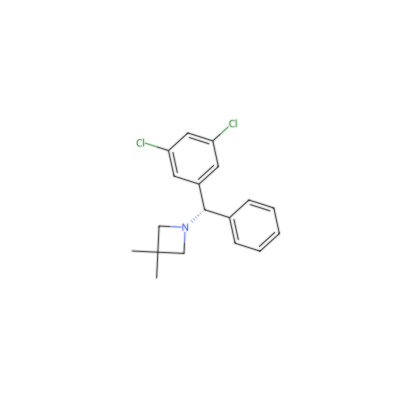 CC1(C)CN([C@@H](c2ccccc2)c2cc(Cl)cc(Cl)c2)C1